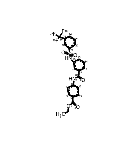 CCOC(=O)c1ccc(NC(=O)c2cccc(NS(=O)(=O)c3cccc(C(F)(F)F)c3)c2)cc1